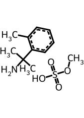 COS(=O)(=O)O.Cc1ccccc1C(C)(C)N